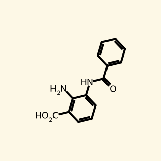 Nc1c(NC(=O)c2ccccc2)cccc1C(=O)O